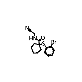 N#CCNC(=O)C1(Sc2ccccc2Br)CCCCC1